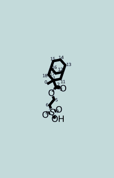 CC1(C(=O)OCCS(=O)(=O)O)CC2CCCC(C2)C1